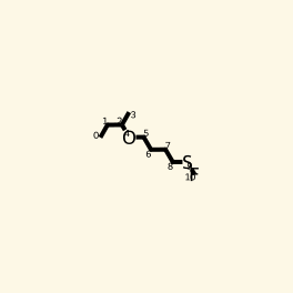 CCC(C)OCCCCSF